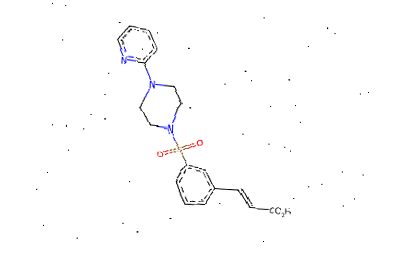 O=C(O)/C=C/c1cccc(S(=O)(=O)N2CCN(c3ccccn3)CC2)c1